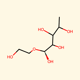 CC(O)C(O)C(O)[C@@H](O)OCCO